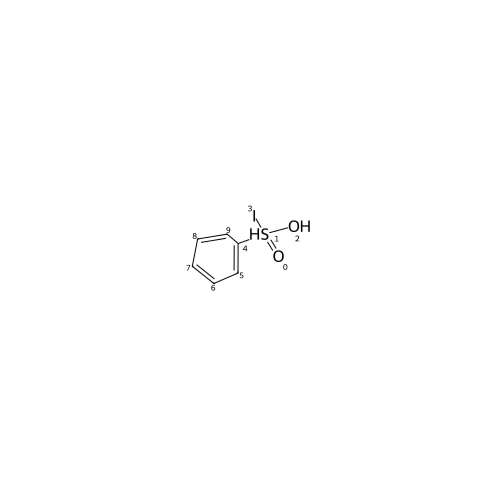 O=[SH](O)(I)c1ccccc1